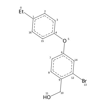 CCc1ccc(Oc2ccc(CO)c(Br)c2)cc1